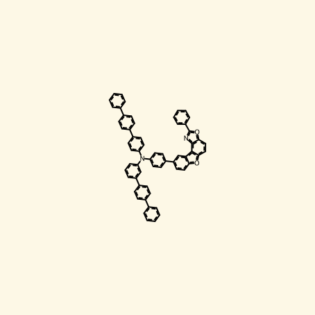 c1ccc(-c2ccc(-c3ccc(N(c4ccc(-c5ccc6oc7ccc8oc(-c9ccccc9)nc8c7c6c5)cc4)c4cccc(-c5ccc(-c6ccccc6)cc5)c4)cc3)cc2)cc1